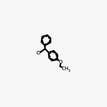 CCOc1ccc(C(Cl)c2ccccc2)cc1